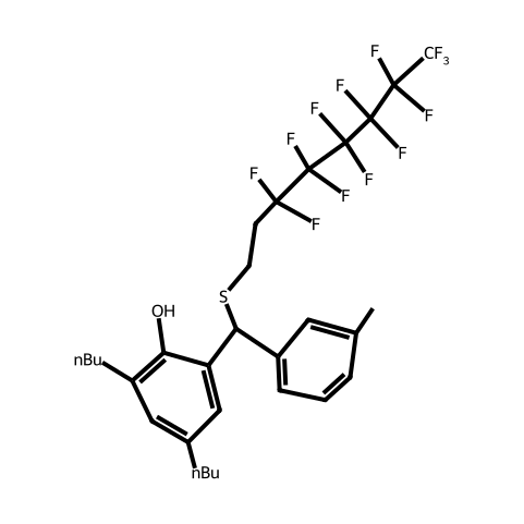 CCCCc1cc(CCCC)c(O)c(C(SCCC(F)(F)C(F)(F)C(F)(F)C(F)(F)C(F)(F)C(F)(F)F)c2cccc(C)c2)c1